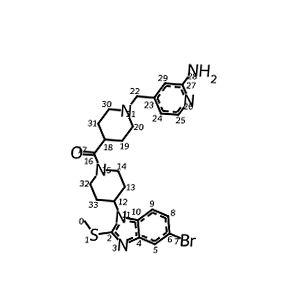 CSc1nc2cc(Br)ccc2n1C1CCN(C(=O)C2CCN(Cc3ccnc(N)c3)CC2)CC1